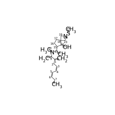 C=C(C/C=C\C=C/CC)C(=C)N(C)C(C)C1CCC2(CN(SC)C2)C1O